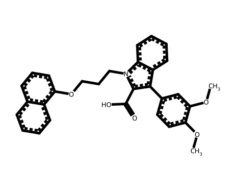 COc1ccc(-c2c(C(=O)O)n(CCCOc3cccc4ccccc34)c3ccccc23)cc1OC